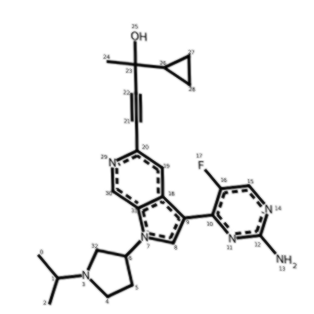 CC(C)N1CCC(n2cc(-c3nc(N)ncc3F)c3cc(C#CC(C)(O)C4CC4)ncc32)C1